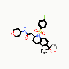 O=C(C[C@@H]1CCc2cc(C(O)(C(F)(F)F)C(F)(F)F)ccc2N1S(=O)(=O)c1ccc(F)cc1)NC1CCOCC1